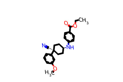 CCOC(=O)c1ccc(N[C@H]2CC[C@](C#N)(c3cccc(OC)c3)CC2)cc1